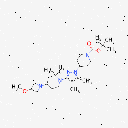 COC1CN(C2CCN(c3nn(C4CCN(C(=O)OC(C)(C)C)CC4)c(C)c3C)C(C)(C)C2)C1